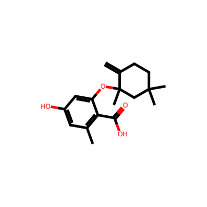 C=C1CCC(C)(C)CC1(C)Oc1cc(O)cc(C)c1C(=O)O